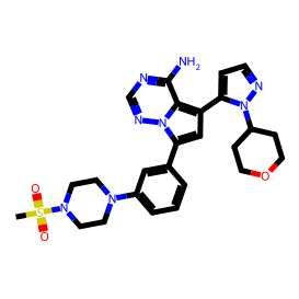 CS(=O)(=O)N1CCN(c2cccc(-c3cc(-c4ccnn4C4CCOCC4)c4c(N)ncnn34)c2)CC1